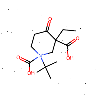 CCC1(C(=O)O)C[N+](C(=O)O)(C(C)(C)C)CCC1=O